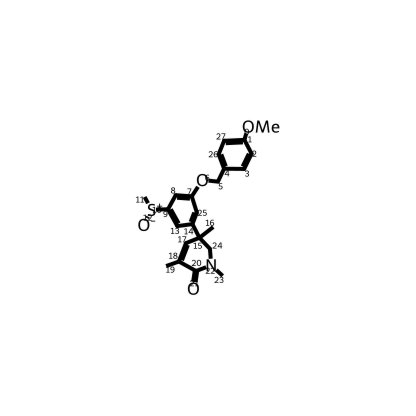 COc1ccc(COc2cc([S+](C)[O-])cc(C3(C)C=C(C)C(=O)N(C)C3)c2)cc1